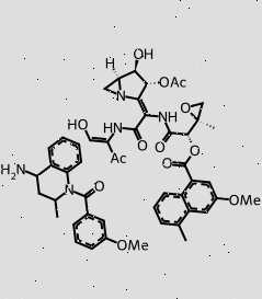 COc1cc(C(=O)O[C@H](C(=O)N/C(C(=O)N/C(=C\O)C(C)=O)=C2\[C@@H](OC(C)=O)[C@H](O)[C@@H]3CN23)[C@]2(C)CO2)c2cccc(C)c2c1.COc1cccc(C(=O)N2c3ccccc3C(N)CC2C)c1